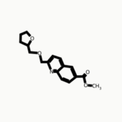 COC(=O)c1ccc2nc(COCC3CCCO3)ccc2c1